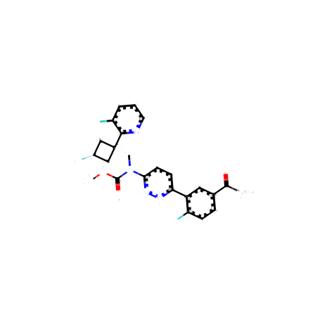 CNC(=O)c1ccc(F)c(-c2ccc(N(C[C@]3(c4ncccc4F)C[C@@H](F)C3)C(=O)OC(C)(C)C)nn2)c1